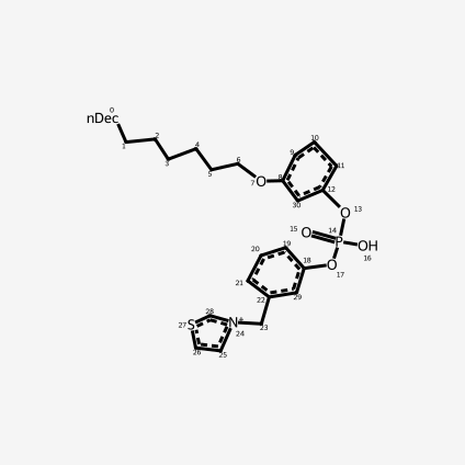 CCCCCCCCCCCCCCCCOc1cccc(OP(=O)(O)Oc2cccc(C[n+]3ccsc3)c2)c1